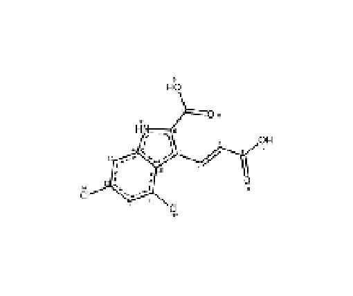 O=C(O)C=Cc1c(C(=O)O)[nH]c2cc(Cl)cc(Cl)c12